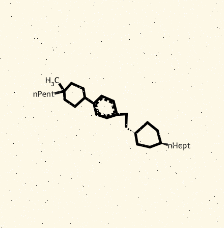 CCCCCCC[C@H]1CC[C@H](CCc2ccc(C3CCC(C)(CCCCC)CC3)cc2)CC1